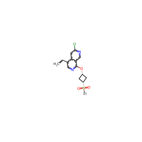 C=Cc1cnc(O[C@H]2C[C@@H](S(=O)(=O)CC)C2)c2cnc(Cl)cc12